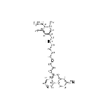 N#Cc1ccc2c(c1)nc(OCCOCCCCNCc1cc(F)c(OC(F)(F)F)c(F)c1)c1ccncc12